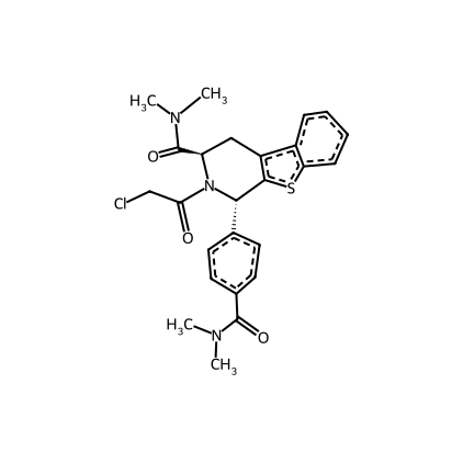 CN(C)C(=O)c1ccc([C@H]2c3sc4ccccc4c3C[C@H](C(=O)N(C)C)N2C(=O)CCl)cc1